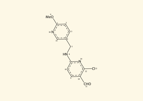 COc1ccc(CNc2ccc(C=O)c(Cl)n2)cn1